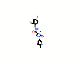 Cc1ccc(N2CC(C(=O)NCC3=CCC(Cl)C=C3Cl)N(C)C2=O)cn1